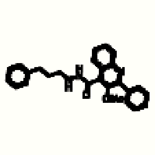 COc1c(-c2ccccc2)nc2ccccc2c1C(=O)NNCCCc1ccccc1